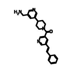 NCc1cncc(C2CCN(C(=O)c3cncc(C=Cc4ccccc4)c3)CC2)c1